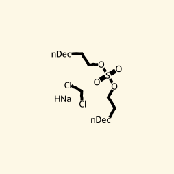 CCCCCCCCCCCCOS(=O)(=O)OCCCCCCCCCCCC.ClCCl.[NaH]